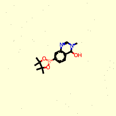 CN1C=Nc2cc(B3OC(C)(C)C(C)(C)O3)ccc2C1O